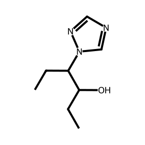 CCC(O)C(CC)n1cncn1